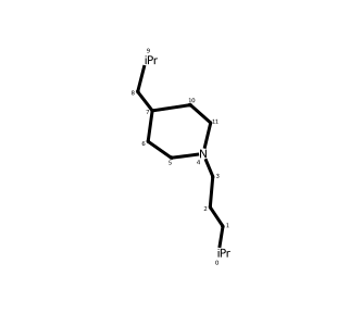 CC(C)CCCN1CCC(CC(C)C)CC1